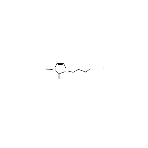 CCCCCCCCN1C=CN(C)C1I